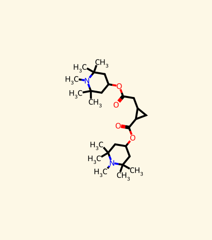 CN1C(C)(C)CC(OC(=O)CC2CC2C(=O)OC2CC(C)(C)N(C)C(C)(C)C2)CC1(C)C